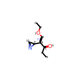 CCO/C=C(/C(=O)CC)C1C=N1